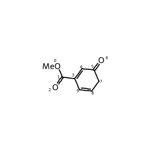 COC(=O)C1=CC(=O)CC=C1